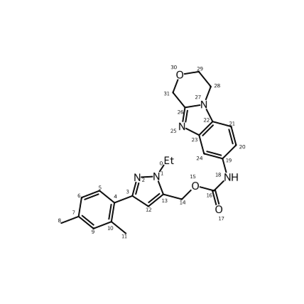 CCn1nc(-c2ccc(C)cc2C)cc1COC(=O)Nc1ccc2c(c1)nc1n2CCOC1